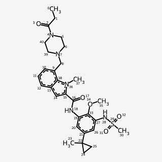 CCC(=O)N1CCN(Cc2cccc3cc(C(=O)Nc4cc(C5(C)CC5)cc(NS(C)(=O)=O)c4OC)n(C)c23)CC1